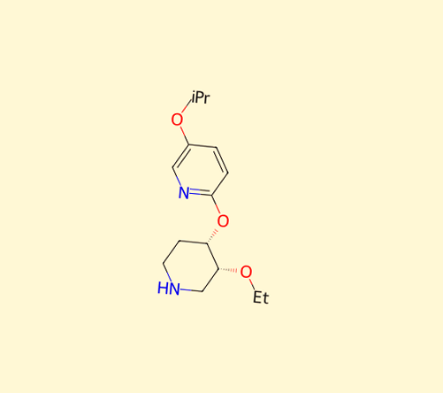 CCO[C@@H]1CNCC[C@@H]1Oc1ccc(OC(C)C)cn1